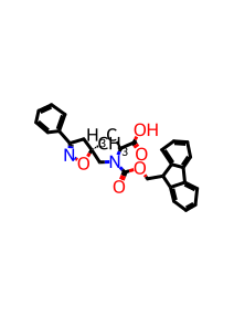 C[C@@H](C(=O)O)N(C[C@]1(C)CC(c2ccccc2)=NO1)C(=O)OCC1c2ccccc2-c2ccccc21